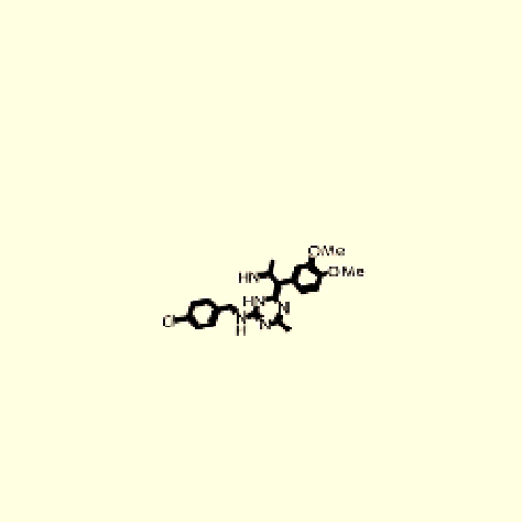 COc1ccc(/C(C(C)=N)=C2\N=C(C)N=C(NCc3ccc(Cl)cc3)N2)cc1OC